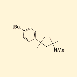 CNC(C)(C)CC(C)(C)c1ccc(C(C)(C)C)cc1